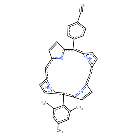 C#Cc1ccc(-c2c3nc(cc4ccc([nH]4)c(-c4c(C)cc(C)cc4C)c4nc(cc5ccc2[nH]5)C=C4)C=C3)cc1